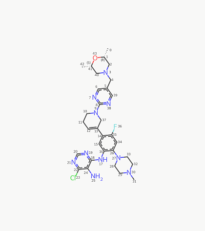 C[C@@H]1CN(Cc2cnc(N3CCC=C(c4cc(Nc5ncnc(Cl)c5N)c(N5CCN(C)CC5)cc4F)C3)nc2)C[C@H](C)O1